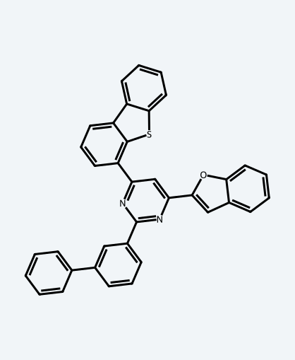 c1ccc(-c2cccc(-c3nc(-c4cc5ccccc5o4)cc(-c4cccc5c4sc4ccccc45)n3)c2)cc1